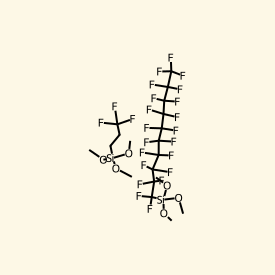 CO[Si](CCC(F)(F)F)(OC)OC.CO[Si](OC)(OC)C(F)(F)C(F)(F)C(F)(F)C(F)(F)C(F)(F)C(F)(F)C(F)(F)C(F)(F)C(F)(F)C(F)(F)F